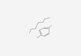 CCCCCCC.Cc1ccc(C)cc1